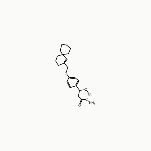 CCOC(CC(=O)ON)c1ccc(OCC2=CC3(CCCCC3)CCC2)cc1